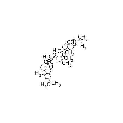 CC(C)c1ccc2c(c1)CCC1C(C)(C(=O)OCC(C)(O)C3CCC(C)(C)C(OC(=O)C4(C)CCCC5(C)c6ccc(C(C)C)cc6CCC45)C3)CCCC21C